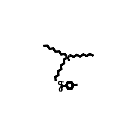 CCCCCCCC[N+](C)(CCCCCCCC)CCCCCCCC.Cc1ccc(C(=O)[O-])cc1